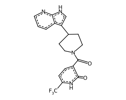 O=C(c1ccc(C(F)(F)F)[nH]c1=O)N1CCC(c2c[nH]c3ncccc23)CC1